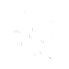 C[C@@H](Nc1ncc(F)c(N2C(=O)OC[C@@H]2[C@@H](C)O)n1)c1ncc(Cl)cc1Cl